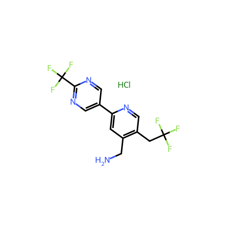 Cl.NCc1cc(-c2cnc(C(F)(F)F)nc2)ncc1CC(F)(F)F